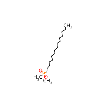 CCCCCCCCCCCCCCCCP(C)(=O)OC